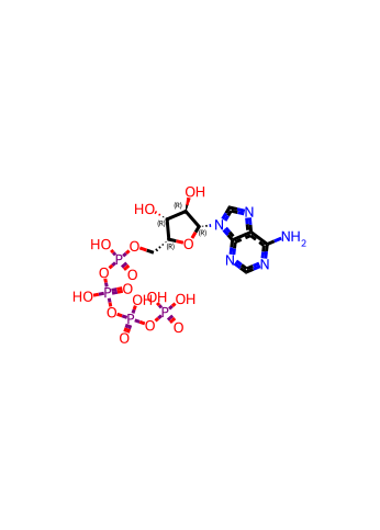 Nc1ncnc2c1ncn2[C@@H]1O[C@H](COP(=O)(O)OP(=O)(O)OP(=O)(O)OP(=O)(O)O)[C@H](O)[C@H]1O